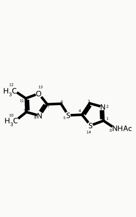 CC(=O)Nc1ncc(SCc2nc(C)c(C)o2)s1